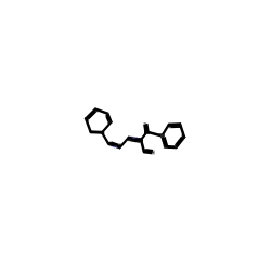 C=C/C(=C\C=C/C1C=CC=CC1)C(=O)c1ccccc1